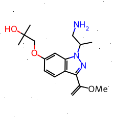 C=C(OC)c1nn(C(C)CN)c2cc(OCC(C)(C)O)ccc12